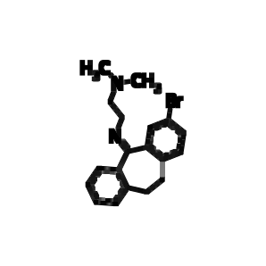 CN(C)CCN=C1c2ccccc2CCc2ccc(Br)cc21